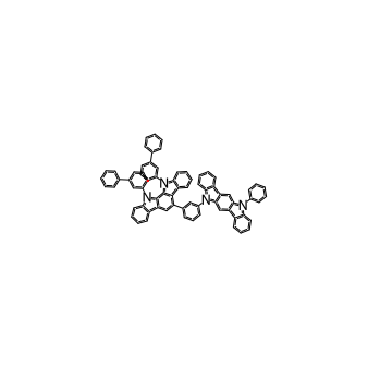 c1ccc(-c2cccc(-n3c4ccccc4c4cc(-c5cccc(-n6c7ccccc7c7cc8c(cc76)c6ccccc6n8-c6ccccc6)c5)c5c6ccccc6n(-c6cccc(-c7ccccc7)c6)c5c43)c2)cc1